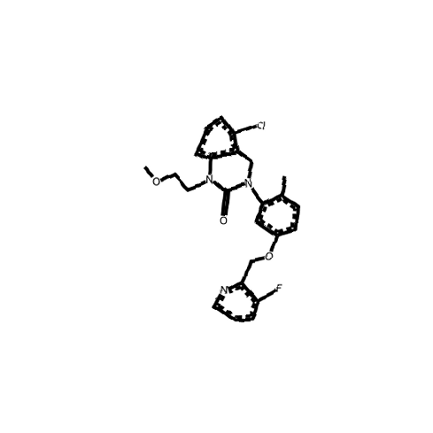 COCCN1C(=O)N(c2cc(OCc3ncccc3F)ccc2C)Cc2c(Cl)cccc21